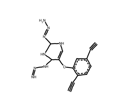 C#Cc1ccc(C#C)c(OC2=CNC(N=NN)NC2NN=N)c1